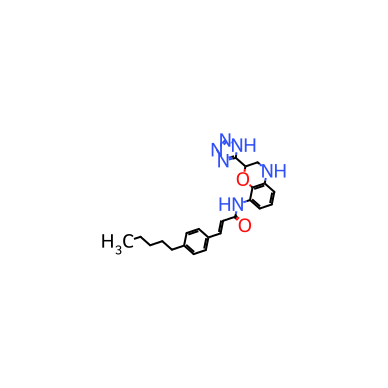 CCCCCc1ccc(/C=C/C(=O)Nc2cccc3c2OC(c2nnn[nH]2)CN3)cc1